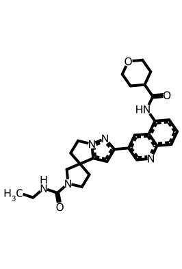 CCNC(=O)N1CCC2(CCn3nc(-c4cnc5cccc(NC(=O)C6CCOCC6)c5c4)cc32)C1